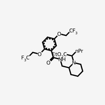 CCCC(C(=O)OCC)N1CCCCC1CNC(=O)c1cc(OCC(F)(F)F)ccc1OCC(F)(F)F